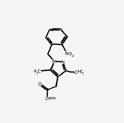 COC(=O)Cc1c(C)nn(Cc2ccccc2[N+](=O)[O-])c1C